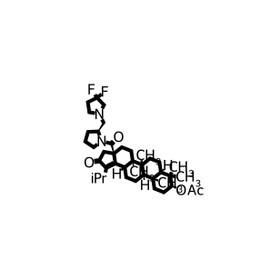 CC(=O)O[C@H]1CC[C@]2(C)[C@H]3CC[C@@H]4C5=C(C(C)C)C(=O)C[C@]5(C(=O)N5CCC[C@H]5CN5CCC(F)(F)C5)CC[C@@]4(C)[C@]3(C)CC[C@H]2C1(C)C